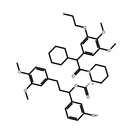 COc1ccc(CCC(OC(=O)[C@H]2CCCCN2C(=O)C(c2cc(OC)c(OC)c(OCCI)c2)C2CCCCC2)c2cccc(O)c2)cc1OC